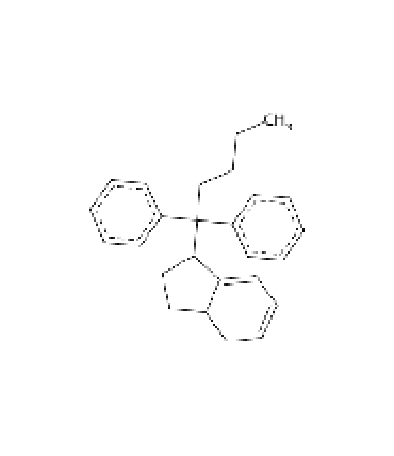 CCCCC(c1ccccc1)(c1ccccc1)C1CCC2CC=CC=C21